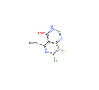 COc1nc(Cl)c(F)c2nc[nH]c(=O)c12